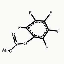 COS(=O)Oc1c(F)c(F)c(F)c(F)c1F